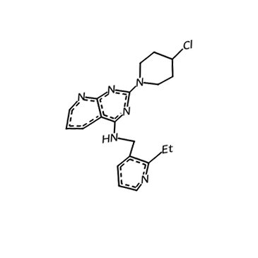 CCc1ncccc1CNc1nc(N2CCC(Cl)CC2)nc2ncccc12